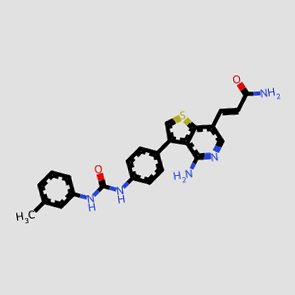 Cc1cccc(NC(=O)Nc2ccc(-c3csc4c(C=CC(N)=O)cnc(N)c34)cc2)c1